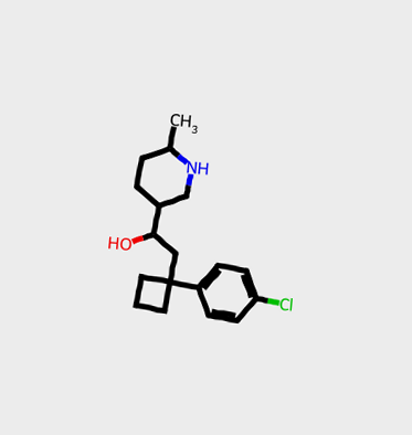 CC1CCC(C(O)CC2(c3ccc(Cl)cc3)CCC2)CN1